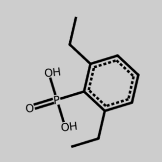 CCc1cccc(CC)c1P(=O)(O)O